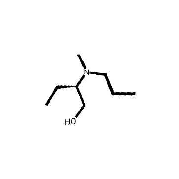 CCCN(C)[C@H](CC)CO